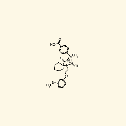 COc1cccc(OCCN(C)C2(C(=O)N[C@@H](C)c3ccc(C(=O)O)cc3)CCCCC2)c1.Cl